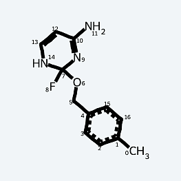 Cc1ccc(COC2(F)N=C(N)C=CN2)cc1